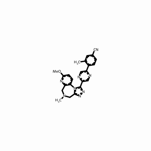 COc1ccc2c(n1)CN(C)Cc1nnc(-c3cnc(-c4ccc(C#N)cc4C)cn3)n1-2